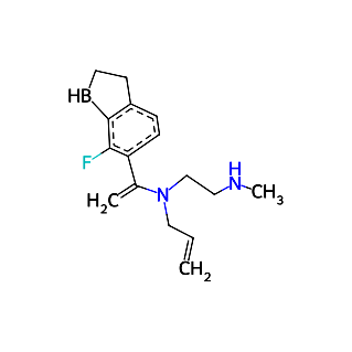 C=CCN(CCNC)C(=C)c1ccc2c(c1F)BCC2